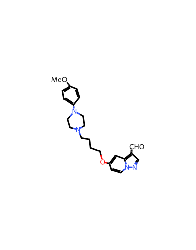 COc1ccc(N2CCN(CCCCOc3ccn4ncc(C=O)c4c3)CC2)cc1